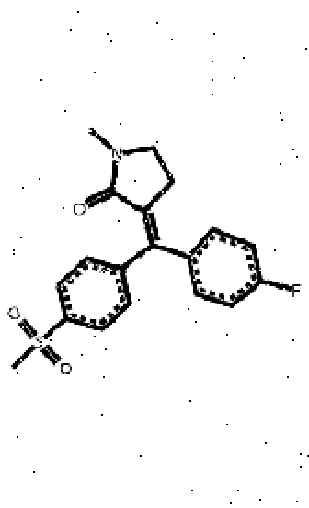 CN1CC/C(=C(\c2ccc(F)cc2)c2ccc(S(C)(=O)=O)cc2)C1=O